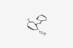 O=C(O)c1ccc(F)cc1Sc1ccccc1